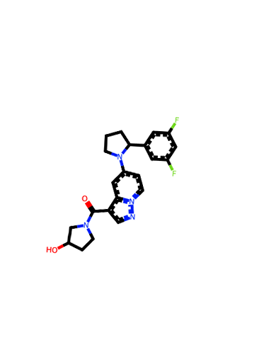 O=C(c1cnn2ccc(N3CCCC3c3cc(F)cc(F)c3)cc12)N1CCC(O)C1